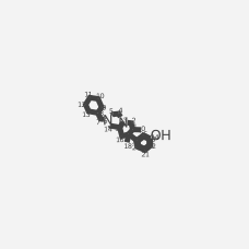 CC1CN2CCN(CC3CCCCC3)CC2CC1(C)c1cccc(O)c1